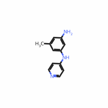 Cc1cc(N)cc(Nc2ccncc2)c1